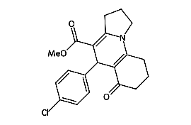 COC(=O)C1=C2CCCN2C2=C(C(=O)CCC2)C1c1ccc(Cl)cc1